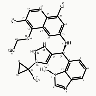 Cn1cnc2cccc([C@H](Nc3cc(Cl)c4ncc(C#N)c(NCC(C)(C)C)c4c3)C3=CN(C4(C(F)(F)F)CC4)NN3)c21